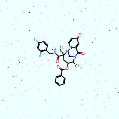 CC1C(OC(=O)c2ccccc2)CC(C)(C(=O)NCc2ccc(F)cc2F)N2CN1C(=O)c1cc(=O)ccn12